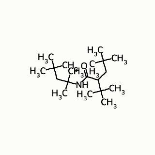 CC(C)(C)CC(C(=O)NC(C)(C)CC(C)(C)C)C(C)(C)C